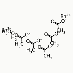 CC(=O)[O-].CC(=O)[O-].CC(=O)[O-].CC(=O)[O-].CC(=O)[O-].O.O.[Rh+2].[Rh+3]